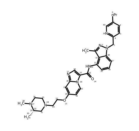 CCCc1ccc(Cn2nc(C)c3c(NC(=O)c4cnc5cc(OCCN6CCN(C)[C@@H](C)C6)ccn45)cccc32)nc1